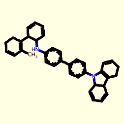 CC1=C(C2C=CC=CC2Nc2ccc(-c3ccc(N4C5=C(CCC=C5)C5C=CC=CC54)cc3)cc2)CCC=C1